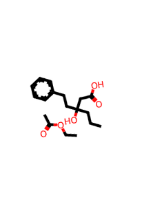 CCCC(O)(CCc1ccccc1)CC(=O)O.CCOC(C)=O